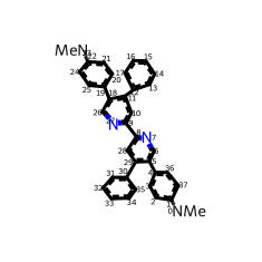 CNc1ccc(-c2cnc(-c3cc(-c4ccccc4)c(-c4ccc(NC)cc4)cn3)cc2-c2ccccc2)cc1